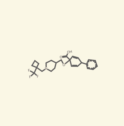 O=C(O)C1(OCC2CCN(CC3(C(F)(F)F)CCC3)CC2)C=CC(c2ccccc2)C=C1